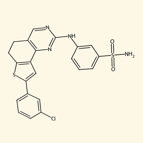 NS(=O)(=O)c1cccc(Nc2ncc3c(n2)-c2cc(-c4cccc(Cl)c4)sc2CC3)c1